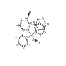 NC(c1ccccc1)(c1ccccc1)c1cncc(F)c1N1CCCCC1